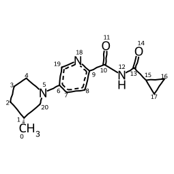 C[C@@H]1CCCN(c2ccc(C(=O)NC(=O)C3CC3)nc2)C1